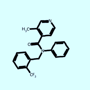 Cc1cnccc1C(=O)N(Cc1ccccc1C(F)(F)F)c1ccccc1